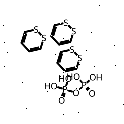 C1=CSSC=C1.C1=CSSC=C1.C1=CSSC=C1.O=P(O)(O)OP(=O)(O)O